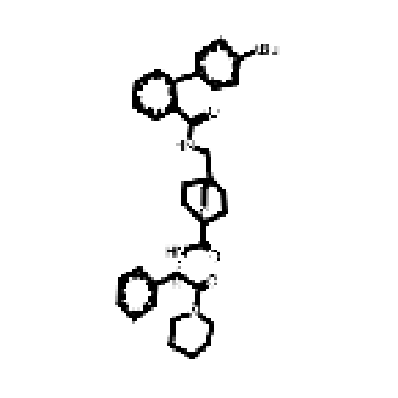 CC(C)(C)c1ccc(-c2ccccc2C(=O)NCC23CCC(C(=O)N[C@H](C(=O)N4CCCCC4)c4ccccc4)(CC2)CC3)cc1